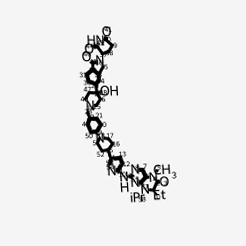 CC[C@@H]1C(=O)N(C)c2cnc(Nc3ccc(C4CCN(c5ccc(CN6CCC(O)(c7ccc8c(c7)CN(C7CCC(=O)NC7=O)C8=O)CC6)cc5)CC4)cn3)nc2N1C(C)C